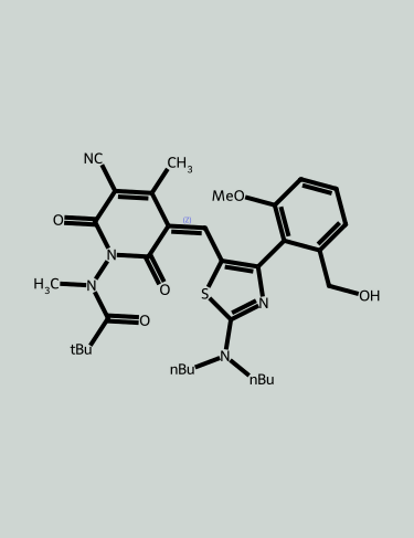 CCCCN(CCCC)c1nc(-c2c(CO)cccc2OC)c(/C=C2\C(=O)N(N(C)C(=O)C(C)(C)C)C(=O)C(C#N)=C2C)s1